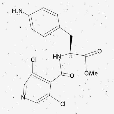 COC(=O)[C@H](Cc1ccc(N)cc1)NC(=O)c1c(Cl)cncc1Cl